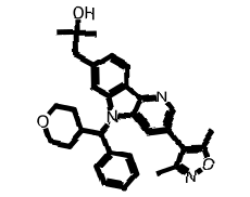 Cc1noc(C)c1-c1cnc2c3ccc(CC(C)(C)O)cc3n(C(c3ccccc3)C3CCOCC3)c2c1